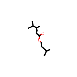 C/C(=C\C(=O)OCCC(C)C)C(C)C